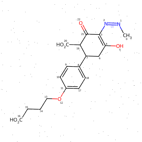 C/N=N\C1=C(O)CC(c2ccc(OCCCC(=O)O)cc2)C(C(=O)O)C1=O